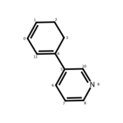 C1=CCCC(c2cccnc2)=C1